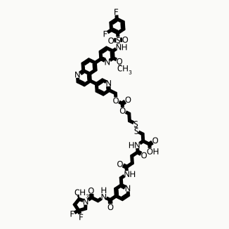 COc1nc(-c2ccc3nccc(-c4ccc(COC(=O)OCCSSCC(NC(=O)CCC(=O)NCc5cc(C(=O)NCC(=O)N6CC(F)(F)C[C@H]6C)ccn5)C(=O)O)nc4)c3c2)ccc1NS(=O)(=O)c1ccc(F)cc1F